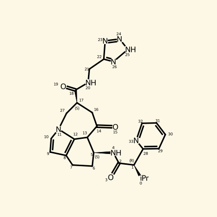 CC(C)[C@@H](C(=O)N[C@H]1CCc2ccn3c2C1C(=O)C[C@H](C(=O)NCc1nn[nH]n1)C3)c1ccccn1